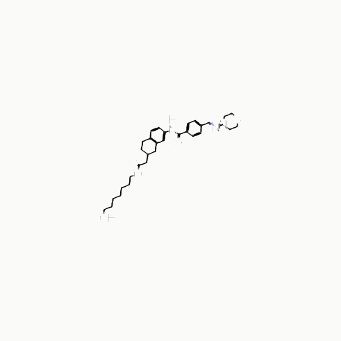 CCCCCCCCOC(=O)CC1CCc2ccc(NC(=O)c3ccc(/C=N/N4CCSCC4)cc3)cc2C1